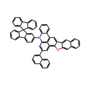 c1cc(-c2cccc3ccccc23)cc(N(c2ccc3c(c2)C2(c4ccccc4-c4ccccc42)c2ccccc2-3)c2ccccc2-c2ccc3oc4cc5ccccc5cc4c3c2)c1